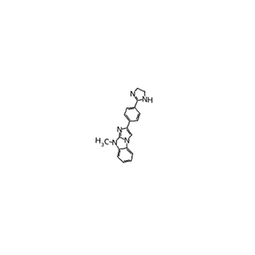 Cn1c2ccccc2n2cc(-c3ccc(C4=NCCN4)cc3)nc12